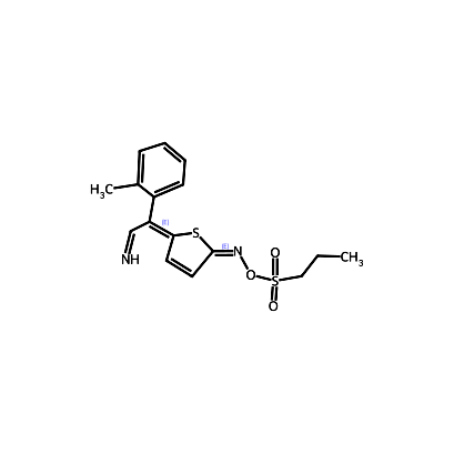 CCCS(=O)(=O)O/N=C1C=C/C(=C(\C=N)c2ccccc2C)S\1